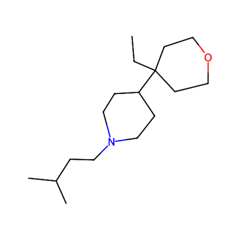 CCC1(C2CCN(CCC(C)C)CC2)CCOCC1